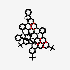 CC(C)(C)c1ccc(-c2cc3c4c(c2)N(c2c(-c5ccccc5)cccc2-c2ccccc2)c2ccc(-c5c(-c6cccc7c6oc6ccccc67)cccc5-n5c6ccccc6c6cc(C#N)ccc65)cc2B4c2ccc(C(C)(C)C)cc2N3c2ccc(C(C)(C)C)cc2-c2ccccc2)cc1